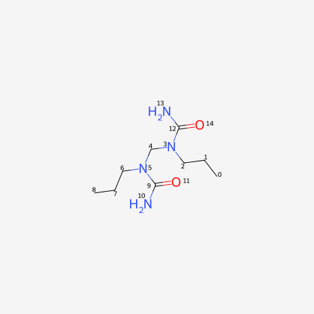 CCCN(CN(CCC)C(N)=O)C(N)=O